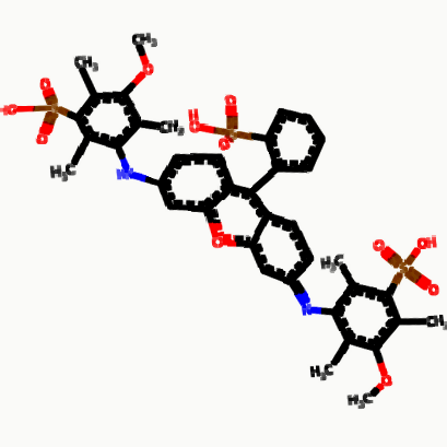 COc1c(C)c(/N=c2\ccc3c(-c4ccccc4S(=O)(=O)O)c4ccc(Nc5c(C)c(OC)c(C)c(S(=O)(=O)O)c5C)cc4oc-3c2)c(C)c(S(=O)(=O)O)c1C